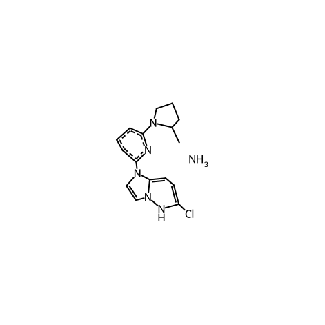 CC1CCCN1c1cccc(N2C=CN3NC(Cl)=CC=C32)n1.N